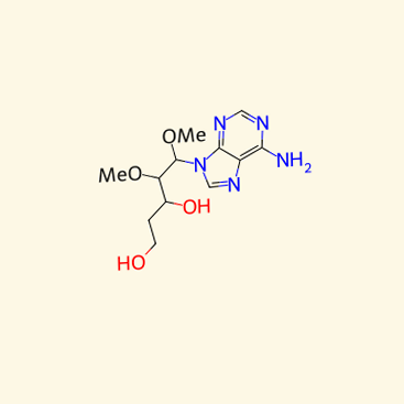 COC(C(O)CCO)C(OC)n1cnc2c(N)ncnc21